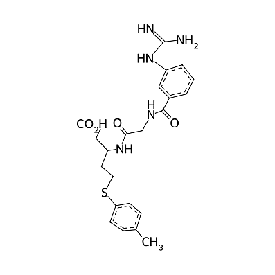 Cc1ccc(SCCC(CC(=O)O)NC(=O)CNC(=O)c2cccc(NC(=N)N)c2)cc1